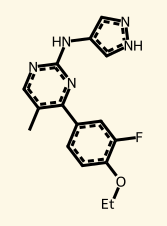 CCOc1ccc(-c2nc(Nc3cn[nH]c3)ncc2C)cc1F